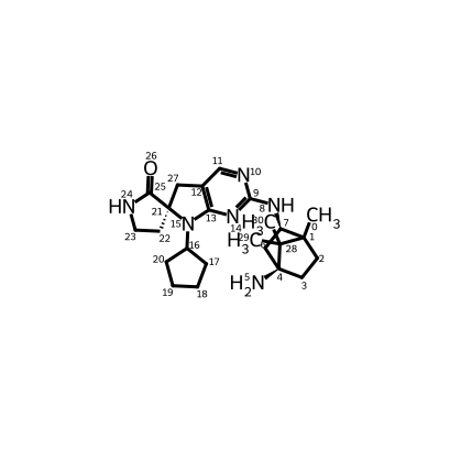 CC12CC[C@](N)(C[C@H]1Nc1ncc3c(n1)N(C1CCCC1)[C@]1(CCNC1=O)C3)C2(C)C